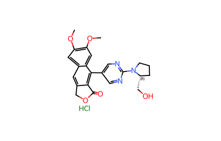 COc1cc2cc3c(c(-c4cnc(N5CCC[C@@H]5CO)nc4)c2cc1OC)C(=O)OC3.Cl